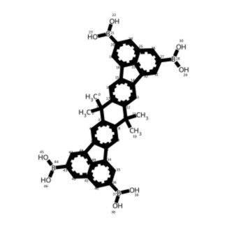 CC1(C)c2cc3c(cc2C(C)(C)c2cc4c(cc21)-c1cc(B(O)O)cc2cc(B(O)O)cc-4c12)-c1cc(B(O)O)cc2cc(B(O)O)cc-3c12